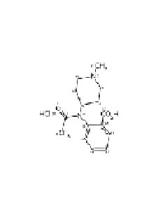 CN1CCC(N(C(=O)C(F)(F)F)c2ccccc2C(=O)O)CC1.Cl